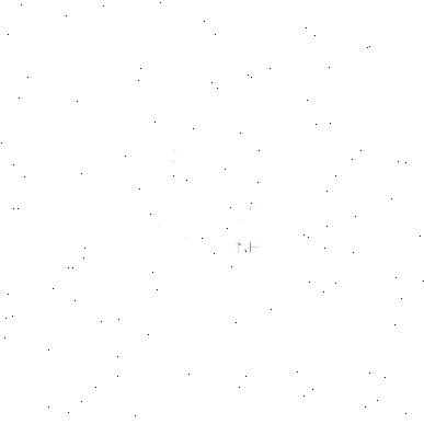 O=C1NCSc2ccc(Br)cc21